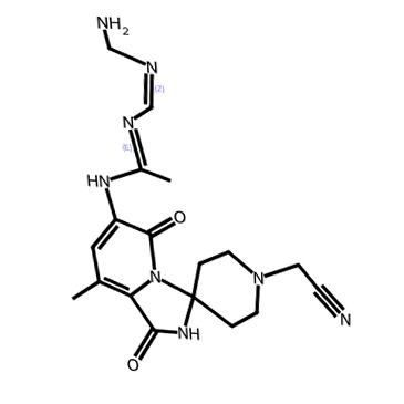 C/C(=N\C=N/CN)Nc1cc(C)c2n(c1=O)C1(CCN(CC#N)CC1)NC2=O